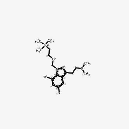 CN(C)CCc1nn(COCC[Si](C)(C)C)c2c(F)cc(F)cc12